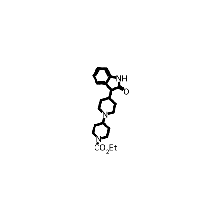 CCOC(=O)N1CCC(N2CCC(C3C(=O)Nc4ccccc43)CC2)CC1